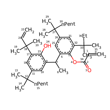 C=CC(=O)Oc1c(C(C)c2cc(C(C)(C)CCCCC)cc(C(C)(C)C=C)c2O)cc(C(C)(C)CCCCC)cc1C(C)(C)CC